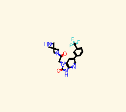 O=C(Cn1c(=O)[nH]c2ncc(-c3cccc(C(F)(F)F)c3)cc21)N1CC2(CNC2)C1